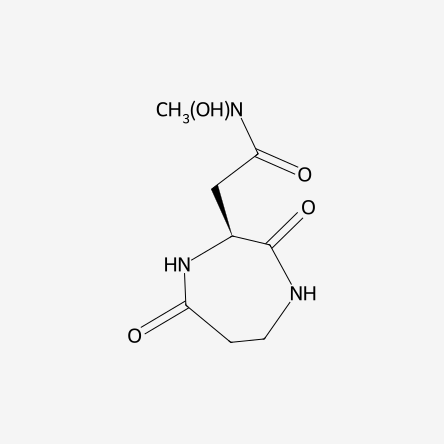 CN(O)C(=O)C[C@@H]1NC(=O)CCNC1=O